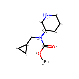 CC(C)(C)OC(=O)N(CC1CC1)[C@@H]1CCCNC1